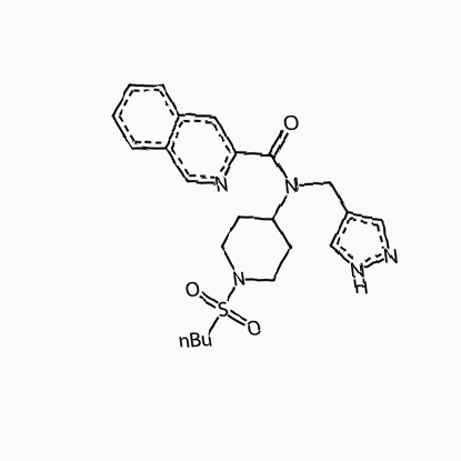 CCCCS(=O)(=O)N1CCC(N(Cc2cn[nH]c2)C(=O)c2cc3ccccc3cn2)CC1